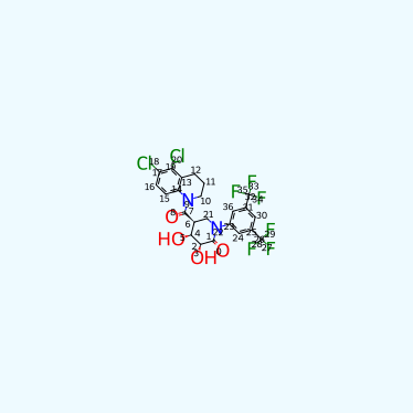 O=C1[C@@H](O)[C@@H](O)[C@@H](C(=O)N2CCCc3c2ccc(Cl)c3Cl)CN1c1cc(C(F)(F)F)cc(C(F)(F)F)c1